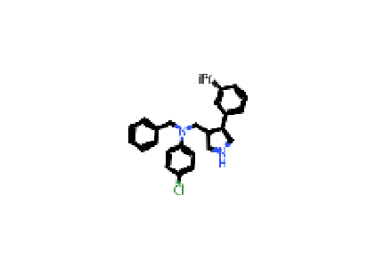 CC(C)c1cccc(C2CNCC2CN(Cc2ccccc2)c2ccc(Cl)cc2)c1